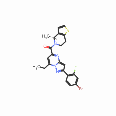 CCc1cc(C(=O)N2CCc3sccc3[C@H]2C)nc2cc(-c3ccc(Br)cc3F)nn12